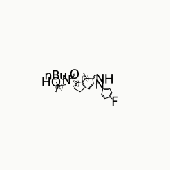 CCCCN(C[C@@H](C)O)C(=O)[C@H]1CCC2=C1[C@@H](C)C1=CNN(c3ccc(F)cc3)C1=C2